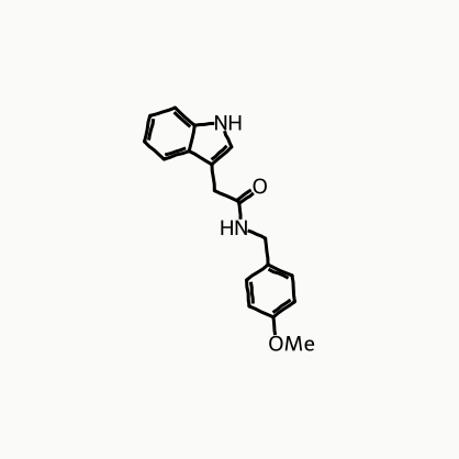 COc1ccc(CNC(=O)Cc2c[nH]c3ccccc23)cc1